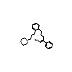 ON=C(CCCc1ccccc1CCCN1CCOCC1)c1ccccc1